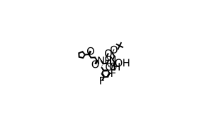 CC(C)(C)CO[C@H]1CN(C(=O)O)[C@@H]([C@@H](O)[C@H](Cc2cc(F)cc(F)c2)NC(=O)CCC(=O)C2CCCC2)CO1